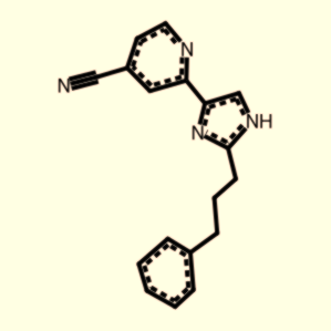 N#Cc1ccnc(-c2c[nH]c(CCCc3ccccc3)n2)c1